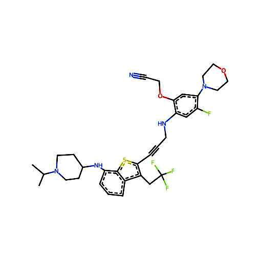 CC(C)N1CCC(Nc2cccc3c(CC(F)(F)F)c(C#CCNc4cc(F)c(N5CCOCC5)cc4OCC#N)sc23)CC1